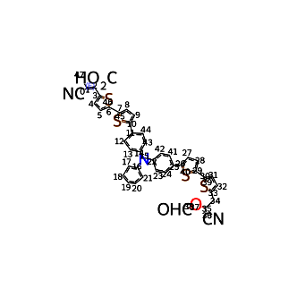 N#C/C(=C\c1ccc(-c2ccc(-c3ccc(N(c4ccccc4)c4ccc(-c5ccc(-c6ccc(CC(C#N)OC=O)s6)s5)cc4)cc3)s2)s1)C(=O)O